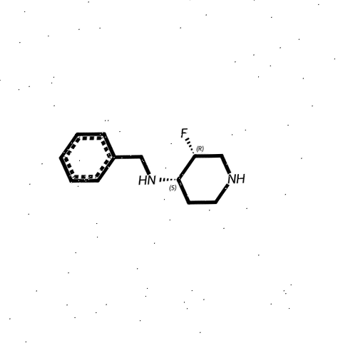 F[C@@H]1CNCC[C@@H]1NCc1ccccc1